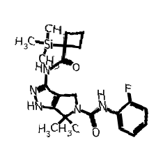 CC1(C)c2[nH]nc(NC(=O)C3([Si](C)(C)C)CCC3)c2CN1C(=O)Nc1ccccc1F